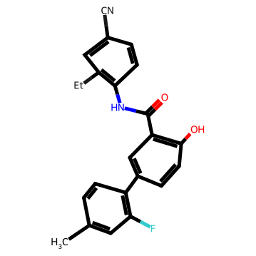 CCc1cc(C#N)ccc1NC(=O)c1cc(-c2ccc(C)cc2F)ccc1O